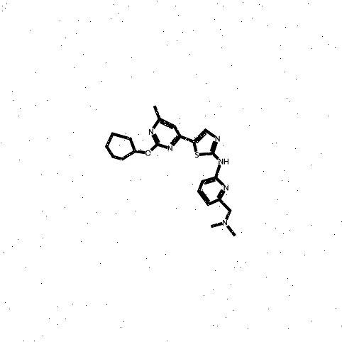 Cc1cc(-c2cnc(Nc3cccc(CN(C)C)n3)s2)nc(OC2CCCCC2)n1